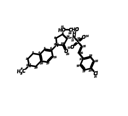 CN1CCc2cc(N3CC[C@H](NS(=O)(=O)C=Cc4ccc(Cl)cc4)C3=O)ccc2C1.O=CO